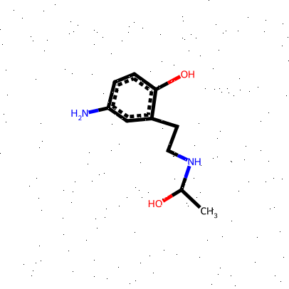 CC(O)NCCc1cc(N)ccc1O